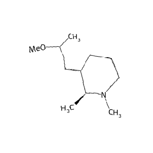 COC(C)CC1CCCN(C)[C@H]1C